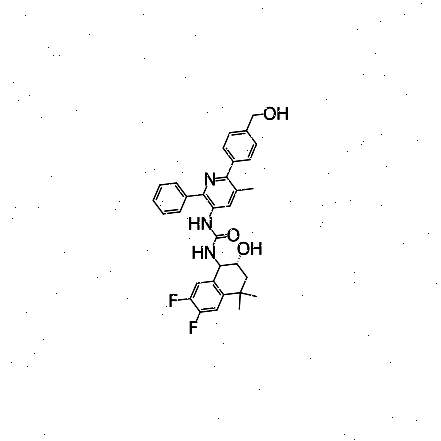 Cc1cc(NC(=O)NC2c3cc(F)c(F)cc3C(C)(C)C[C@H]2O)c(-c2ccccc2)nc1-c1ccc(CO)cc1